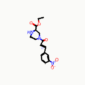 CCOC(=O)C1CN(C(=O)/C=C/c2cc[c]c([N+](=O)[O-])c2)CCN1